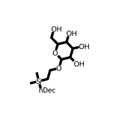 CCCCCCCCCC[Si](C)(C)CCOC1OC(CO)C(O)C(O)C1O